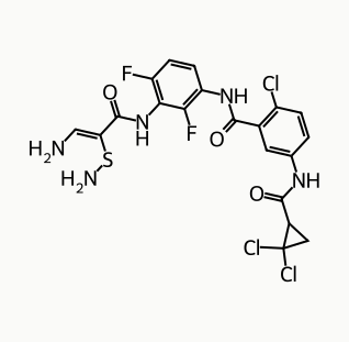 N/C=C(\SN)C(=O)Nc1c(F)ccc(NC(=O)c2cc(NC(=O)C3CC3(Cl)Cl)ccc2Cl)c1F